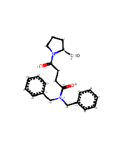 O=C[C@@H]1CCCN1C(=O)CCC(=O)N(Cc1ccccc1)Cc1ccccc1